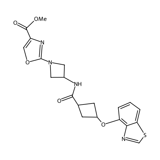 COC(=O)c1coc(N2CC(NC(=O)C3CC(Oc4cccc5scnc45)C3)C2)n1